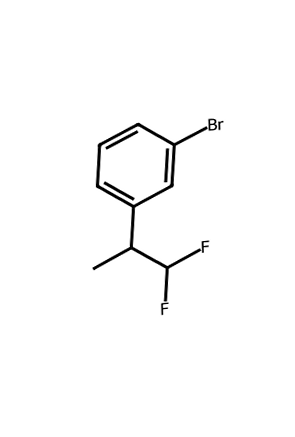 CC(c1cccc(Br)c1)C(F)F